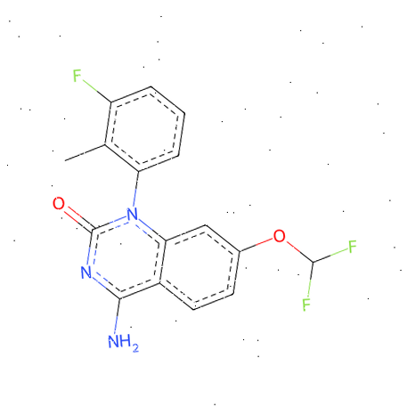 Cc1c(F)cccc1-n1c(=O)nc(N)c2ccc(OC(F)F)cc21